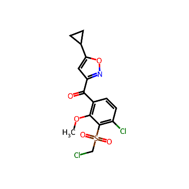 COc1c(C(=O)c2cc(C3CC3)on2)ccc(Cl)c1S(=O)(=O)CCl